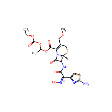 CCOC(=O)OC(C)OC(=O)C1=C(COC)CS[C@@H]2C(NC(=O)/C(=N\O)c3csc(N)n3)C(=O)N12